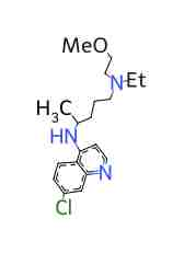 CCN(CCCC(C)Nc1ccnc2cc(Cl)ccc12)CCOC